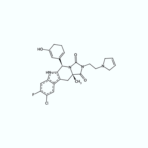 C[C@@]12Cc3c([nH]c4cc(F)c(Cl)cc34)[C@@H](C3=CCCC(O)=C3)N1C(=O)N(CCN1CC=CC1)C2=O